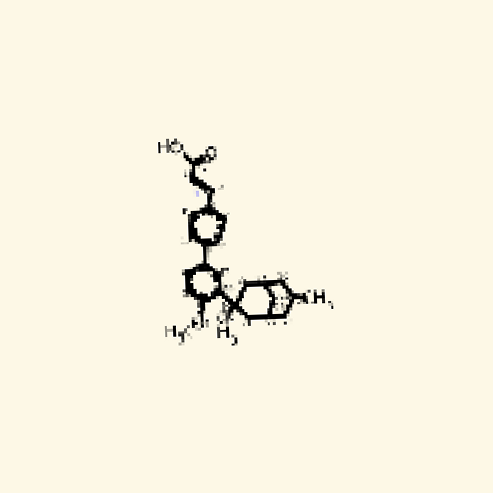 COc1ccc(-c2ccc(/C=C/C(=O)O)cc2)cc1C1(C)CC2CC(C)CC(C2)C1